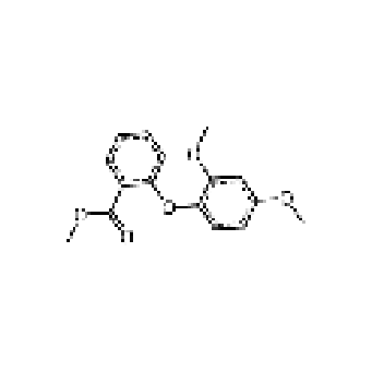 COC(=O)c1ccccc1Oc1ccc(OC)cc1OC